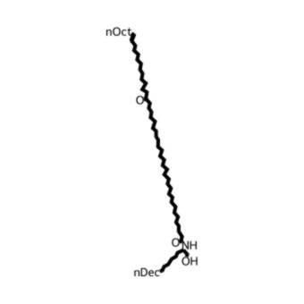 CCCCCCCCC=CCCCCCCCCCCCC(=O)CCCCCCCCCCCCCCCCCCCCCCCCCCCCCC(=O)NC(CO)CCCCCCCCCCCCCCCC